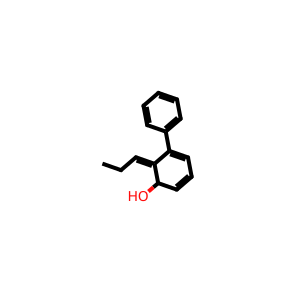 CCC=C1C(c2ccccc2)=CC=CC1O